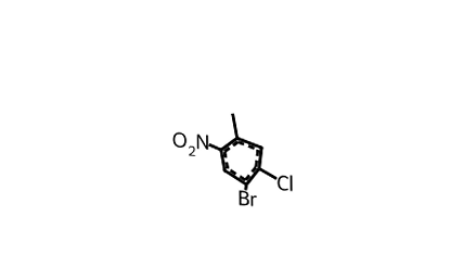 Cc1cc(Cl)c(Br)cc1[N+](=O)[O-]